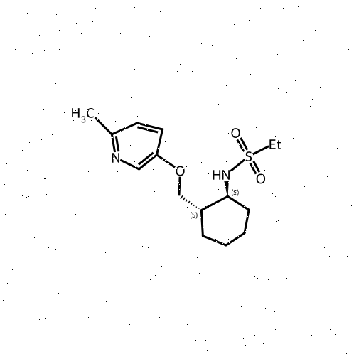 CCS(=O)(=O)N[C@H]1CCCC[C@@H]1COc1ccc(C)nc1